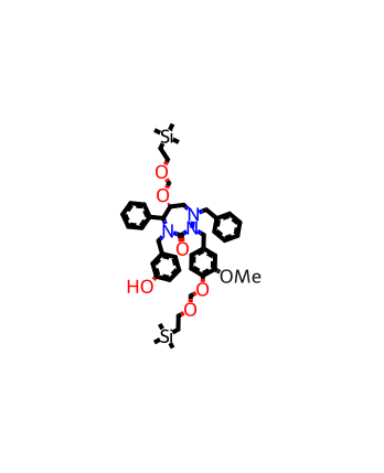 COc1cc(CN2C(=O)N(Cc3cccc(O)c3)C(c3ccccc3)[C@H](OCOCC[Si](C)(C)C)CN2Cc2ccccc2)ccc1OCOCC[Si](C)(C)C